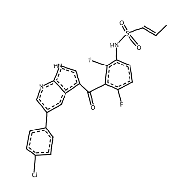 CC=CS(=O)(=O)Nc1ccc(F)c(C(=O)c2c[nH]c3ncc(-c4ccc(Cl)cc4)cc23)c1F